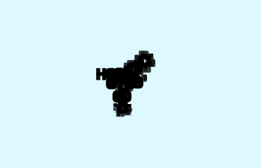 COC(=O)N1CC(OC(=O)N2CCCC2)C[C@H](C(=O)NO)[C@H]1C(=O)N1CCN(c2ccccc2)CC1